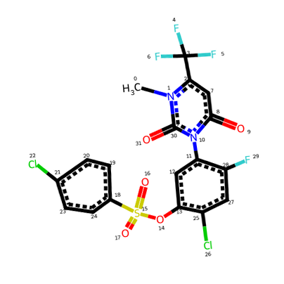 Cn1c(C(F)(F)F)cc(=O)n(-c2cc(OS(=O)(=O)c3ccc(Cl)cc3)c(Cl)cc2F)c1=O